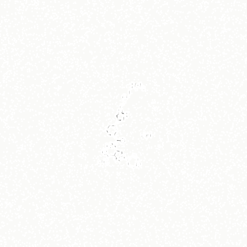 NCCOCCn1cc(-c2cccc(C(=O)Nc3cn(C4CCOCC4)nc3C(=O)O)c2)cn1.[LiH]